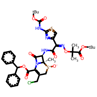 CC(C)(C)OC(=O)Nc1nc(/C(=N/OC(C)(C)C(=O)OC(C)(C)C)C(=O)N[C@@H]2C(=O)N3C(C(=O)OC(c4ccccc4)c4ccccc4)=C(CCl)C[S+]([O-])[C@]23C)cs1